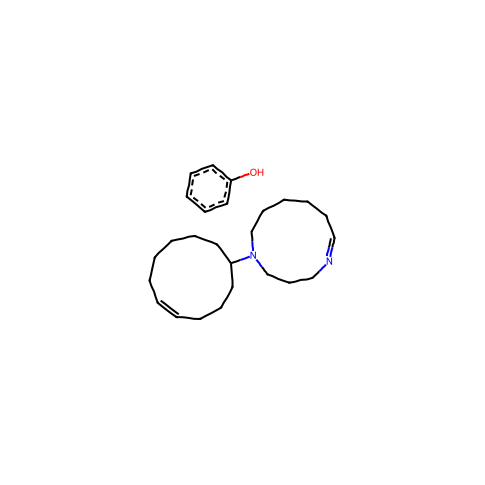 C1=CCCCC(N2CCCCCC=NCCC2)CCCCC1.Oc1ccccc1